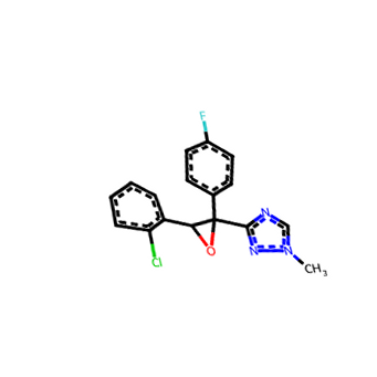 Cn1cnc(C2(c3ccc(F)cc3)OC2c2ccccc2Cl)n1